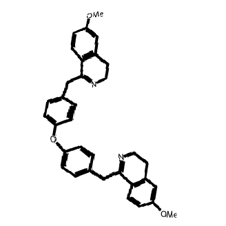 COc1ccc2c(c1)CCN=C2Cc1ccc(Oc2ccc(CC3=NCCc4cc(OC)ccc43)cc2)cc1